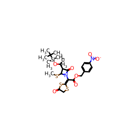 CSC1C(C(C)O[Si](C)(C)C(C)(C)C)C(=O)N1C(C(=O)OCc1ccc([N+](=O)[O-])cc1)=C1SCC(=O)S1